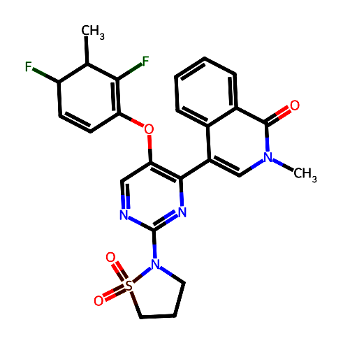 CC1C(F)=C(Oc2cnc(N3CCCS3(=O)=O)nc2-c2cn(C)c(=O)c3ccccc23)C=CC1F